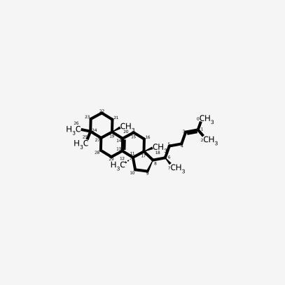 CC(C)=CCC[C@@H](C)[C@H]1CC[C@@]2(C)C3=C(CC[C@]12C)[C@@]1(C)CCCC(C)(C)C1CC3